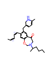 C/C=C\C=C/c1cc2c(cc1CC1=CC=C(C)NC1)C(=O)CN(C(C)CCCC)CO2